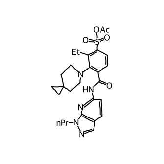 CCCn1ncc2ccc(NC(=O)c3ccc(S(=O)(=O)OC(C)=O)c(CC)c3N3CCC4(CC3)CC4)nc21